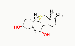 C[C@H]1CCC2C3C(SC[C@@]21C)[C@@]1(C)CC[C@H](O)CC1=C[C@@H]3O